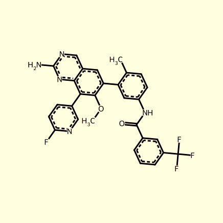 COc1c(-c2cc(NC(=O)c3cccc(C(F)(F)F)c3)ccc2C)cc2cnc(N)nc2c1-c1ccc(F)nc1